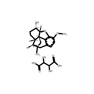 COc1ccc2c3c1O[C@H]1[C@@H](O)CC[C@H]4[C@@H](C2)N(C)CC[C@@]341.O=C(O)C(O)C(O)C(=O)O